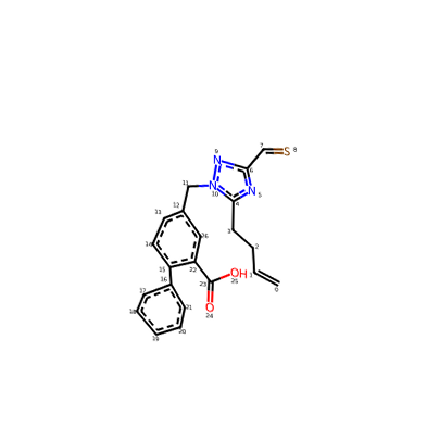 C=CCCc1nc(C=S)nn1Cc1ccc(-c2ccccc2)c(C(=O)O)c1